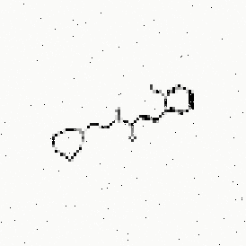 O=C(/C=C/c1ccccc1F)NCCN1CCCCC1